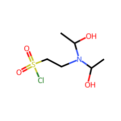 CC(O)N(CCS(=O)(=O)Cl)C(C)O